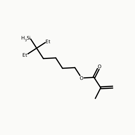 C=C(C)C(=O)OCCCCC([SiH3])(CC)CC